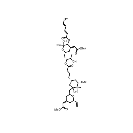 C=C[C@H]1C/C(=C\C(=O)OC)C[C@@H](C[C@]2(O)O[C@H](CCCC(=O)O[C@H](C[C@@H]3C/C(=C\C(=O)OC)[C@H](OC(=O)/C=C/C=C/CCC)[C@](O)(C(C)(C)C)O3)[C@@H](C)O)C[C@H](OC(C)=O)C2(C)C)O1